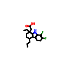 C=CCC1CCC(CC)(CC(=O)O)c2[nH]c3c(F)c(F)ccc3c21